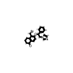 O=C1CCCc2c1ccc(OC(Cn1ccnc1)c1ccccc1)c2CBr